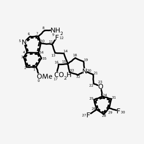 COc1ccc2ncc(CN)c(C(F)CCC3(CC(=O)O)CCN(CCOc4cc(F)cc(F)c4)CC3)c2c1